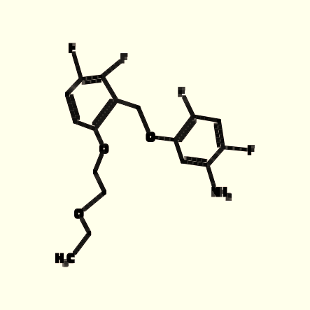 CCOCCOc1ccc(F)c(F)c1COc1cc(N)c(F)cc1F